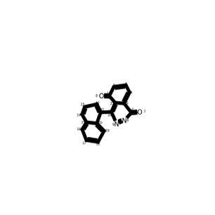 O=C1C=CC=C2C(=O)N=NC(c3cccc4ccccc34)=C12